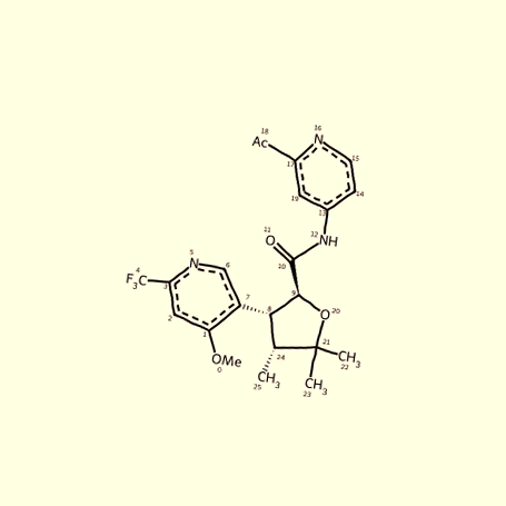 COc1cc(C(F)(F)F)ncc1[C@@H]1[C@@H](C(=O)Nc2ccnc(C(C)=O)c2)OC(C)(C)[C@@H]1C